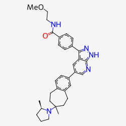 COCCNC(=O)c1ccc(-c2n[nH]c3ncc(-c4ccc5c(c4)CCC(C)(N4CCC[C@H]4C)CC5)cc23)cc1